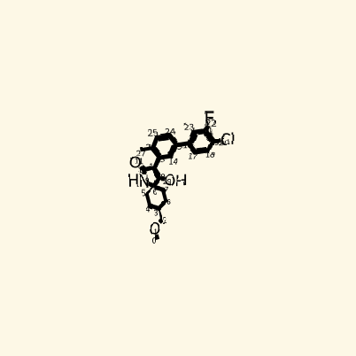 COC[C@H]1CC[C@@]2(CC1)NC(=O)C(c1cc(-c3ccc(Cl)c(F)c3)ccc1C)=C2O